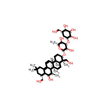 C[C@@H]1C2C(=C3CC(C)(C)C[C@@H](CO)C3[C@@H]1O)C=C[C@H]1[C@@]2(C)CCC2[C@]1(C)CC[C@H](O[C@@H]1O[C@H](C)[C@@H](O)[C@H](O[C@H]3C[C@@H](CO)[C@H](O)[C@@H](O)[C@H]3O)[C@H]1O)[C@@]2(C)CO